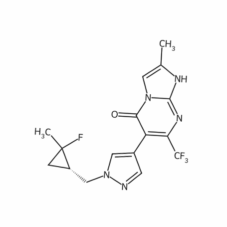 Cc1cn2c(=O)c(-c3cnn(C[C@@H]4CC4(C)F)c3)c(C(F)(F)F)nc2[nH]1